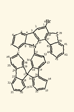 Brc1cc2c3ccccc3n(-c3ccc4c(c3)C3(c5ccccc5-c5ccccc53)c3ccccc3-4)c2c2c1sc1ccccc12